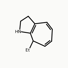 CCC1C=CC=CC2=C1NCC2